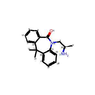 C[C@@H](N)CN1C(=O)c2ccccc2C(C)(C)c2ccccc21